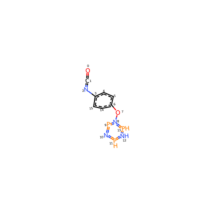 O=C=Nc1ccc(On2pn[pH][nH][pH]2)cc1